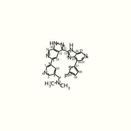 CN(C)Cc1cncc(-c2cc3c(-c4nc5c(-c6ccc(F)s6)cncc5[nH]4)n[nH]c3cn2)c1